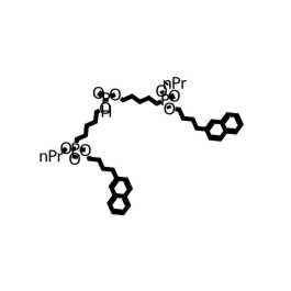 CCCOP(=O)(CCCCCO[PH](=O)OCCCCCP(=O)(OCCC)OCCCCc1ccc2ccccc2c1)OCCCCc1ccc2ccccc2c1